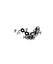 COc1cc(-c2cccc(C(F)(F)F)c2)c(F)cc1N1C(O)OC[C@@H]2CN(S(=O)(=O)Nc3ccon3)CC[C@H]21